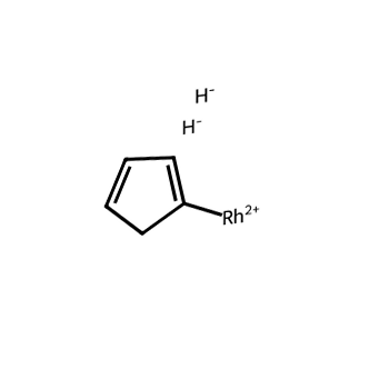 [H-].[H-].[Rh+2][C]1=CC=CC1